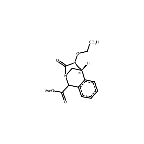 COC(=O)C1c2ccccc2[C@@H]2CN1C(=O)N2OCC(=O)O